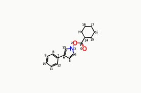 O=C(On1ccc(-c2ccccc2)c1)C1CCCCC1